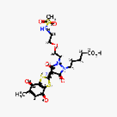 CC1=CC(=O)C2=C(S/C(=C3/C(=O)N(CCCCC(=O)O)N(CCOCCNS(C)(=O)=O)C3=O)S2)C1=O